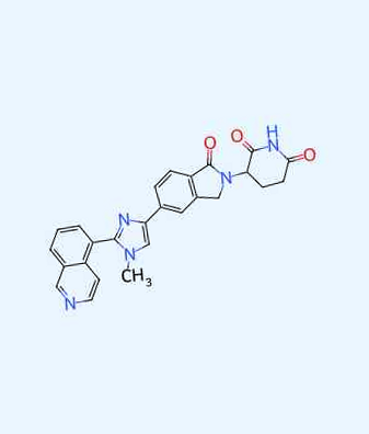 Cn1cc(-c2ccc3c(c2)CN(C2CCC(=O)NC2=O)C3=O)nc1-c1cccc2cnccc12